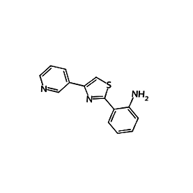 Nc1ccccc1-c1nc(-c2cccnc2)cs1